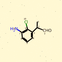 CC(C=O)c1cccc(N)c1Cl